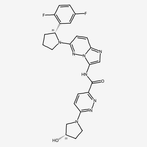 O=C(Nc1cnc2ccc(N3CCC[C@@H]3c3cc(F)ccc3F)nn12)c1ccc(N2CC[C@H](O)C2)nn1